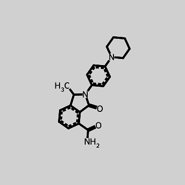 CC1c2cccc(C(N)=O)c2C(=O)N1c1ccc(N2CCCCC2)cc1